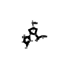 COC(=O)N1C[C@@H](OC)C[C@H]1c1nc(I)c[nH]1